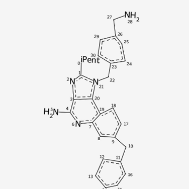 CCCC(C)c1nc2c(N)nc3cc(Cc4ccccc4)ccc3c2n1Cc1ccc(CN)cc1